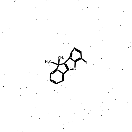 CC1(C)c2ccccc2-c2oc3c(I)cccc3c21